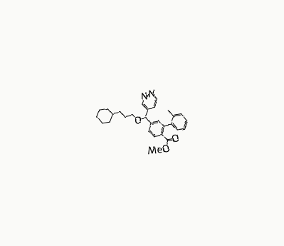 COC(=O)c1ccc(C(OCCCC2CCCCC2)c2ccnnc2)cc1-c1ccccc1C